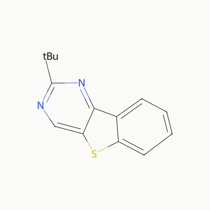 CC(C)(C)c1ncc2sc3ccccc3c2n1